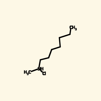 CCCCCCC[SiH](C)Cl